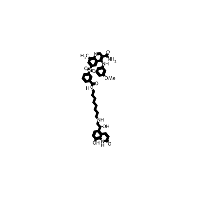 COc1cccc(Nc2c(C(N)=O)cnc3c(C)cc(S(=O)(=O)c4cccc(C(=O)NCCCCCCCCNC[C@H](O)c5ccc(O)c6[nH]c(=O)ccc56)c4)cc23)c1